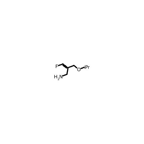 CC(C)OCC(=CF)CN